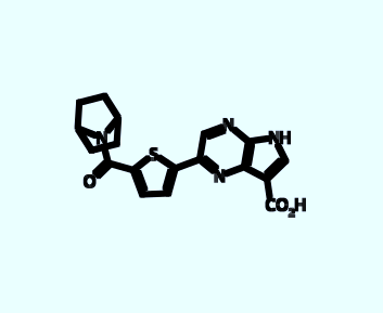 O=C(O)c1c[nH]c2ncc(-c3ccc(C(=O)N4C5CCC4CC5)s3)nc12